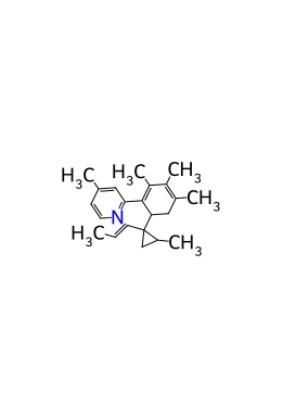 CC=CC1(C2CC(C)=C(C)C(C)=C2c2cc(C)ccn2)CC1C